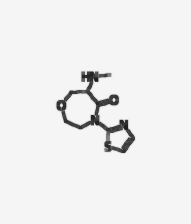 CNC1COCCN(c2nccs2)C1=O